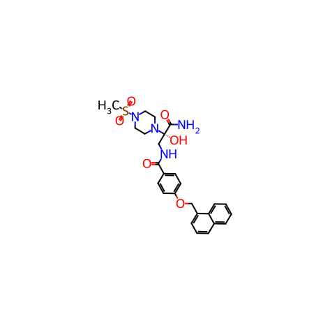 CS(=O)(=O)N1CCN([C@](O)(CNC(=O)c2ccc(OCc3cccc4ccccc34)cc2)C(N)=O)CC1